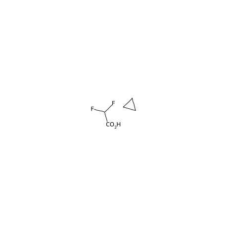 C1CC1.O=C(O)C(F)F